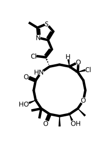 Cc1nc(C=C(Cl)[C@@H]2C[C@@H]3O[C@]3(Cl)CCO[C@@H](C)[C@@H](O)[C@@H](C)C(=O)C(C)(C)[C@@H](O)CC(=O)N2)cs1